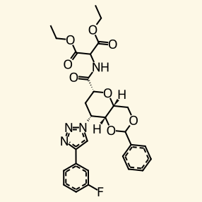 CCOC(=O)C(NC(=O)[C@H]1C[C@@H](n2cc(-c3cccc(F)c3)nn2)[C@H]2OC(c3ccccc3)OC[C@H]2O1)C(=O)OCC